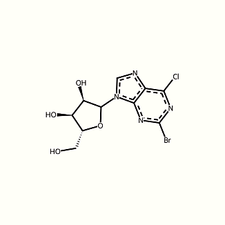 OC[C@H]1OC(n2cnc3c(Cl)nc(Br)nc32)[C@H](O)[C@@H]1O